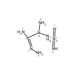 NN=C(N)N(N)N.[N-]=[N+]=N